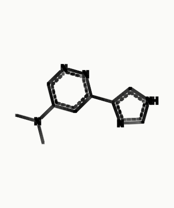 CN(C)c1cnnc(-c2c[nH]cn2)c1